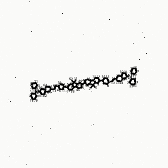 CC1(C)c2cc(-c3ccc(/C=C/c4ccc5cc(N(c6ccccc6)c6ccccc6)ccc5c4)cc3)ccc2-c2ccc(-c3ccc4c(c3)C(C)(C)c3cc(-c5ccc(/C=C/c6ccc7cc(N(c8ccccc8)c8ccccc8)ccc7c6)cc5)ccc3-4)cc21